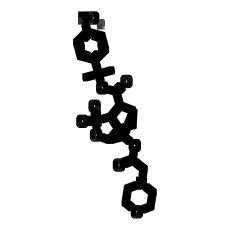 CC(C)(OC(=O)C1C2CC3C(OS(=O)(=O)C31)C2OC(=O)CN1CCOCC1)c1ccc([N+](=O)[O-])cc1